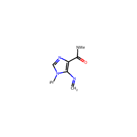 C=Nc1c(C(=O)NC)ncn1C(C)C